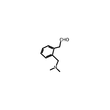 CN(C)Cc1ccccc1CC=O